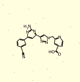 N#Cc1cccc(-c2cc(-c3cn(Cc4cc(C(=O)O)ccn4)nn3)nc(N)n2)c1